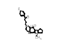 Cn1c2c(c3c1C[C@@H]1CCN(CCCC(=O)c4ccc(F)cc4)C[C@H]1C3=O)CCC2